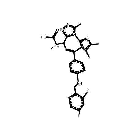 Cc1sc2c(c1C)C(c1ccc(NCc3ccc(F)cc3F)cc1)=NC([C@H](C)C(=O)O)c1nnc(C)n1-2